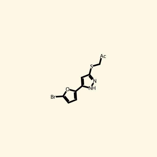 CC(=O)CSc1cc(-c2ccc(Br)o2)[nH]n1